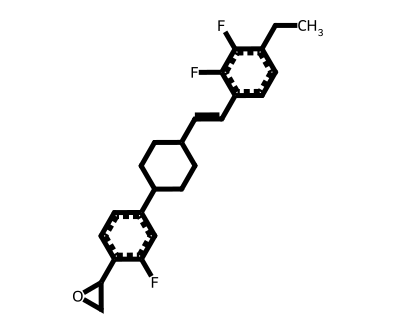 CCc1ccc(/C=C/C2CCC(c3ccc(C4CO4)c(F)c3)CC2)c(F)c1F